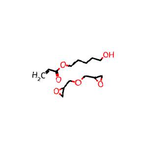 C(OCC1CO1)C1CO1.C=CC(=O)OCCCCCO